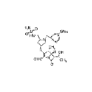 CSc1cccc(CN2C[C@@H](SC3=C(C=O)N4C(=O)[C@H]([C@@H](C)O)[C@H]4[C@H]3C)C[C@H]2CNS(N)(=O)=O)c1